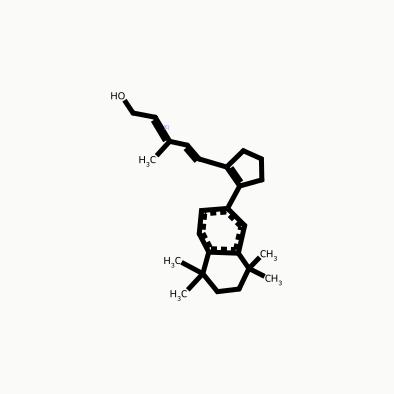 C/C(C=CC1=C(c2ccc3c(c2)C(C)(C)CCC3(C)C)CCC1)=C\CO